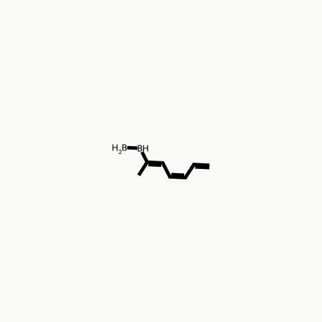 BB/C(C)=C/C=C\C=C